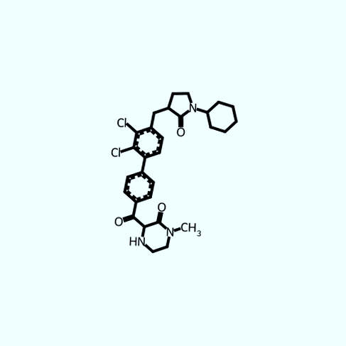 CN1CCNC(C(=O)c2ccc(-c3ccc(CC4CCN(C5CCCCC5)C4=O)c(Cl)c3Cl)cc2)C1=O